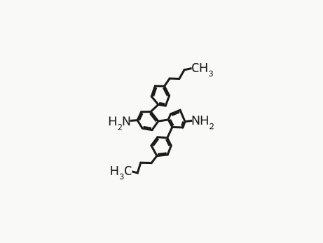 CCCCc1ccc(-c2cc(N)ccc2-c2ccc(N)cc2-c2ccc(CCCC)cc2)cc1